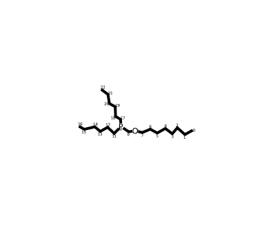 CCCCCCCCOCP(CCCCCC)CCCCCC